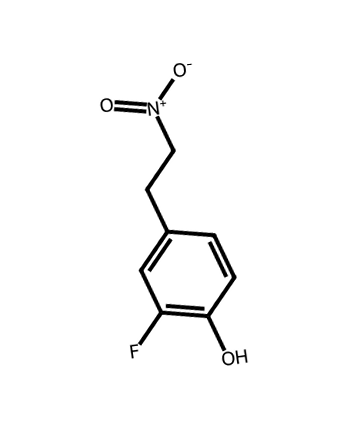 O=[N+]([O-])CCc1ccc(O)c(F)c1